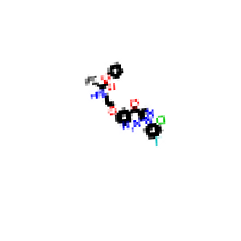 CC(C)C[C@H](NCCCOc1cccc(C(=O)c2cnn(-c3ccc(F)cc3Cl)c2N)c1)C(=O)OC1CCCC1